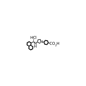 C[C@@H](N[C@H]1CCN(c2ccc(C(=O)O)cc2)C1)c1cccc2ccccc12.Cl